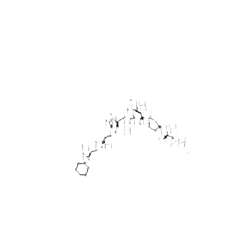 Nc1cc(N2CCC(NC(=O)CP)CC2)nc(NCc2cn(CCCNCCCNC3CCCCC3)nn2)n1